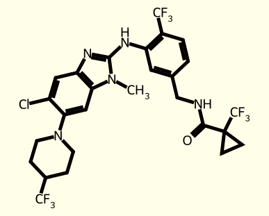 Cn1c(Nc2cc(CNC(=O)C3(C(F)(F)F)CC3)ccc2C(F)(F)F)nc2cc(Cl)c(N3CCC(C(F)(F)F)CC3)cc21